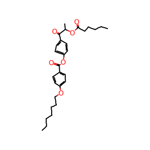 CCCCCCCOc1ccc(C(=O)Oc2ccc(C(=O)C(C)OC(=O)CCCCC)cc2)cc1